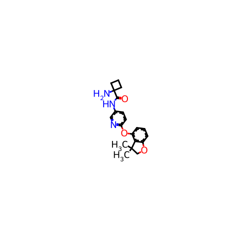 CC1(C)COc2cccc(Oc3ccc(NC(=O)C4(N)CCC4)cn3)c21